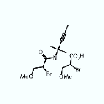 CC#CC(C)(C)NC(=O)C(Br)COC.COCC(Br)C(=O)O